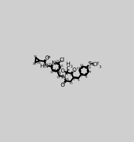 CC1(C)C(=O)/C(=C\c2ccc(SC(F)(F)F)cc2)CC(=O)N1Cc1cc(Cl)nc(NC(=O)C2CC2)c1